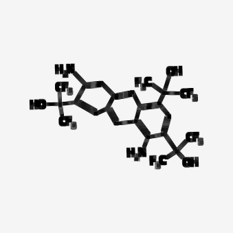 Nc1cc2cc3c(C(O)(C(F)(F)F)C(F)(F)F)cc(C(O)(C(F)(F)F)C(F)(F)F)c(N)c3cc2cc1C(O)(C(F)(F)F)C(F)(F)F